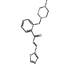 CN1CCN(Cc2ccccc2C(=O)C=Cc2cccs2)CC1